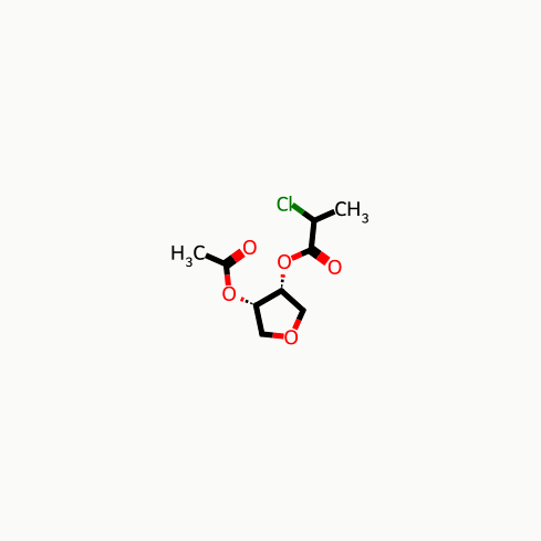 CC(=O)O[C@H]1COC[C@H]1OC(=O)C(C)Cl